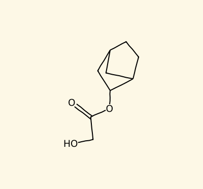 O=C(CO)OC1CC2CCC1C2